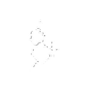 CC[C@@H]1CNS(=O)(=O)c2cc(Cl)ccc2O1